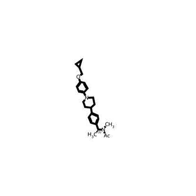 CC(=O)N(C)[C@@H](C)c1ccc(C2CCN(c3ccc(OCC4CC4)cc3)CC2)cc1